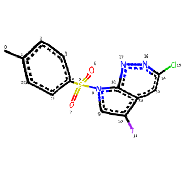 Cc1ccc(S(=O)(=O)n2cc(I)c3cc(Cl)nnc32)cc1